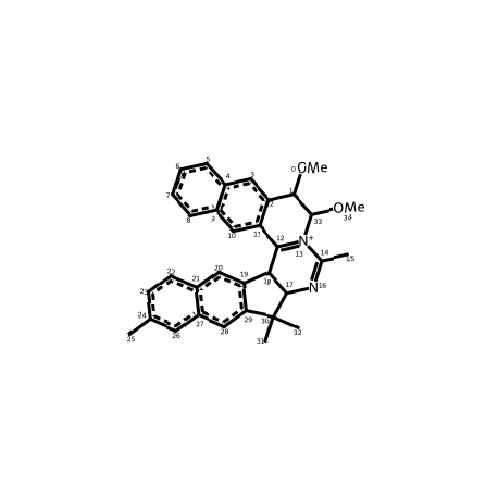 COC1c2cc3ccccc3cc2C2=[N+](C(C)=NC3C2c2cc4ccc(C)cc4cc2C3(C)C)C1OC